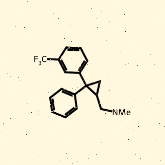 CNCC1CC1(c1ccccc1)c1cccc(C(F)(F)F)c1